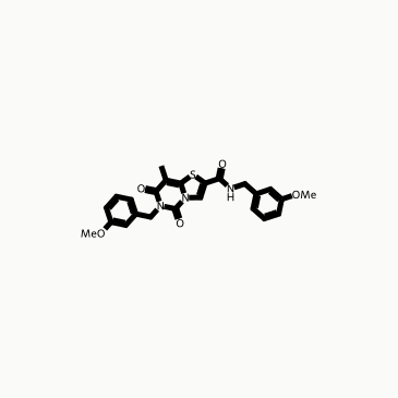 COc1cccc(CNC(=O)c2cn3c(=O)n(Cc4cccc(OC)c4)c(=O)c(C)c3s2)c1